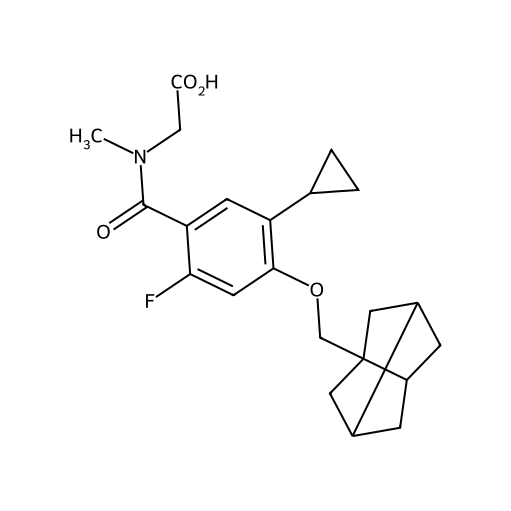 CN(CC(=O)O)C(=O)c1cc(C2CC2)c(OCC23CC4CC2CC4C3)cc1F